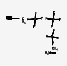 C.C.C#CC.CN.F[B-](F)(F)F.F[B-](F)(F)F.F[B-](F)(F)F